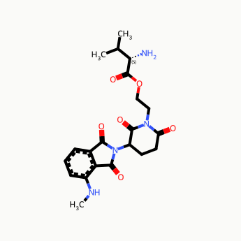 CNc1cccc2c1C(=O)N(C1CCC(=O)N(CCOC(=O)[C@@H](N)C(C)C)C1=O)C2=O